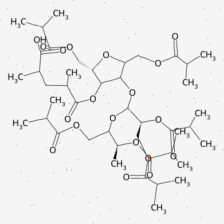 CC(C)C(=O)OCC1O[C@@H](COC(=O)C(C)C)C(OC(=O)C(C)CC(C)C(=O)O)C1OC(OC(COC(=O)C(C)C)[C@H](C)OC(=O)C(C)C)[C@H](COC(=O)C(C)C)OC(=O)C(C)C